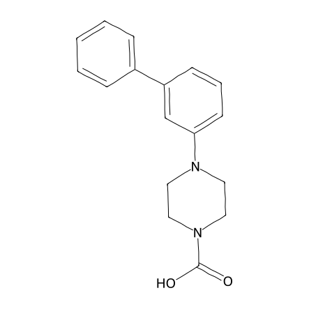 O=C(O)N1CCN(c2cccc(-c3ccccc3)c2)CC1